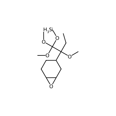 CCC(OC)(C1CCC2OC2C1)C(OC)(OC)O[SiH3]